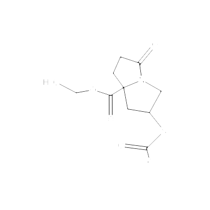 CCOC(=O)C12CCC(=O)N1CC(SC(C)=O)C2